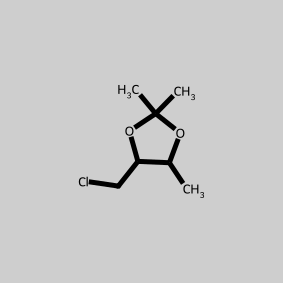 CC1OC(C)(C)OC1CCl